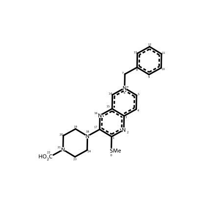 CSc1nc2cc[n+](Cc3ccccc3)cc2nc1N1CCN(C(=O)O)CC1